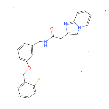 O=C(Cc1cn2ccccc2n1)NCc1cccc(OCc2ccccc2F)c1